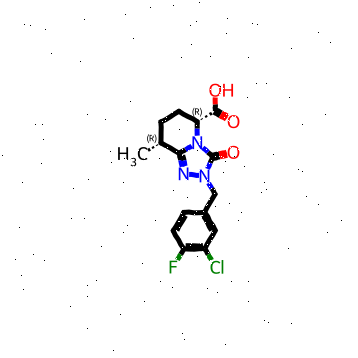 C[C@@H]1CC[C@H](C(=O)O)n2c1nn(Cc1ccc(F)c(Cl)c1)c2=O